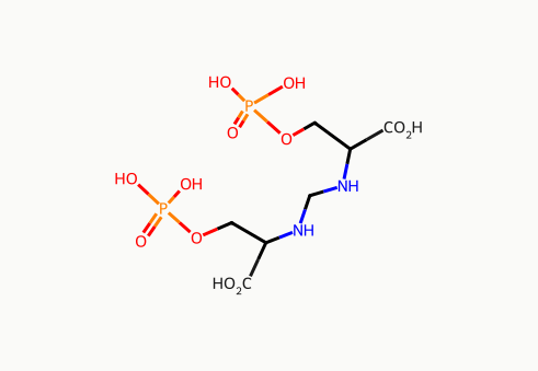 O=C(O)C(COP(=O)(O)O)NCNC(COP(=O)(O)O)C(=O)O